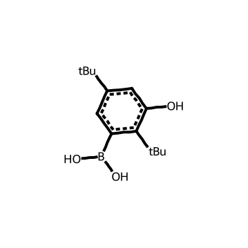 CC(C)(C)c1cc(O)c(C(C)(C)C)c(B(O)O)c1